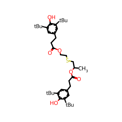 CC(CSCCOC(=O)CCc1cc(C(C)(C)C)c(O)c(C(C)(C)C)c1)OC(=O)CCc1cc(C(C)(C)C)c(O)c(C(C)(C)C)c1